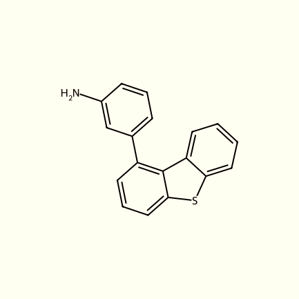 Nc1cccc(-c2cccc3sc4ccccc4c23)c1